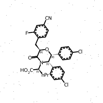 CCC[C@@H](C(=O)O)N1C(=O)[C@@H](Cc2ccc(C#N)cc2F)O[C@H](c2ccc(Cl)cc2)[C@@H]1c1ccc(Cl)cc1